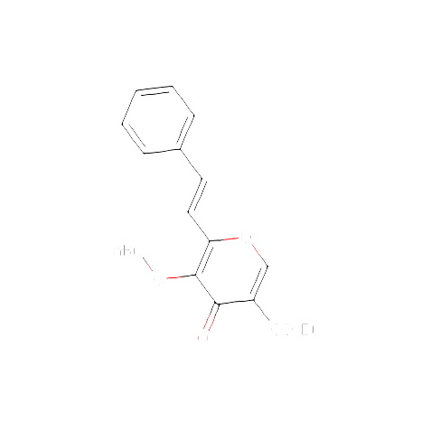 CCCCOc1c(/C=C/c2ccccc2)occ(C(=O)OCC)c1=O